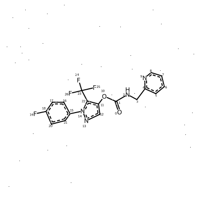 O=C(NCc1ccccn1)Oc1cnn(-c2ccc(F)cc2)c1C(F)(F)F